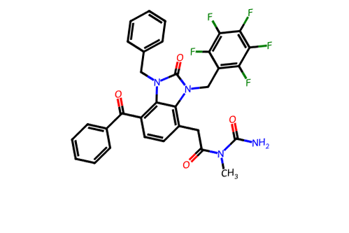 CN(C(N)=O)C(=O)Cc1ccc(C(=O)c2ccccc2)c2c1n(Cc1c(F)c(F)c(F)c(F)c1F)c(=O)n2Cc1ccccc1